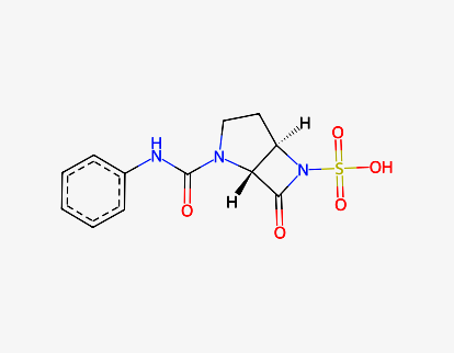 O=C(Nc1ccccc1)N1CC[C@@H]2[C@@H]1C(=O)N2S(=O)(=O)O